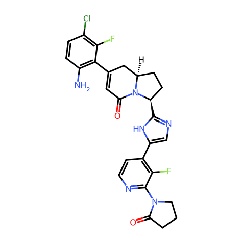 Nc1ccc(Cl)c(F)c1C1=CC(=O)N2[C@H](CC[C@H]2c2ncc(-c3ccnc(N4CCCC4=O)c3F)[nH]2)C1